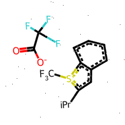 CC(C)c1cc2ccccc2[s+]1C(F)(F)F.O=C([O-])C(F)(F)F